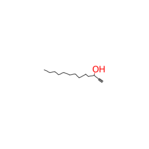 C#CC(O)CCCCCCCCCC